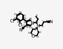 CCC(N(CCC#N)N1CCOCC1)n1cc(C#N)c(-c2cccc(Cl)c2Cl)c1